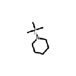 C[PH](C)(C)N1CCCCC1